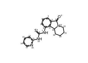 O=C1c2cccc(NC(=S)Nc3ccccn3)c2C2CCCCN12